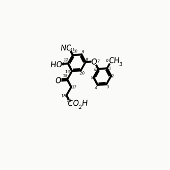 Cc1ccccc1Oc1cc(C#N)c(O)c(C(=O)CCC(=O)O)c1